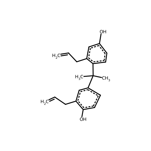 C=CCc1cc(C(C)(C)c2ccc(O)cc2CC=C)ccc1O